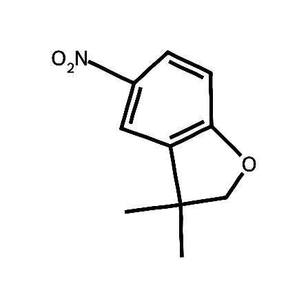 CC1(C)COc2ccc([N+](=O)[O-])cc21